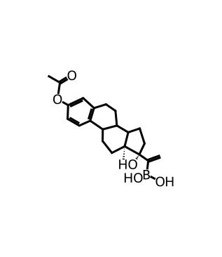 C=C(B(O)O)[C@]1(O)CCC2C3CCc4cc(OC(C)=O)ccc4C3CC[C@@]21C